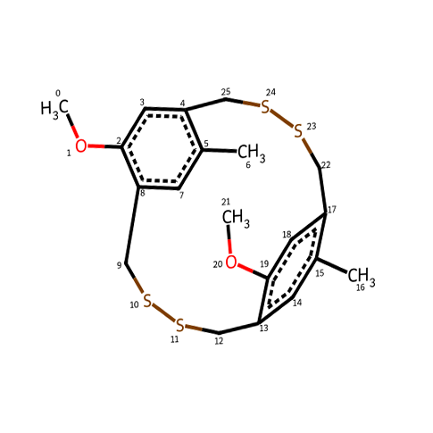 COc1cc2c(C)cc1CSSCc1cc(C)c(cc1OC)CSSC2